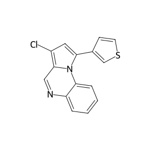 Clc1cc(-c2ccsc2)n2c1cnc1ccccc12